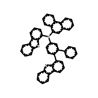 c1ccc(-c2cc(N(c3cc4ccccc4c4ccccc34)c3cccc4c3sc3ccccc34)ccc2-c2cccc3c2sc2ccccc23)cc1